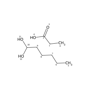 CCC(=O)O.CCCCCC(O)O